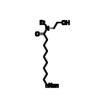 CCCCCCCCCCCCCCCCCC(=O)N(CC)CCO